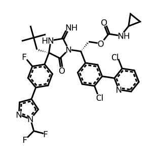 CC(C)(C)C[C@]1(c2ccc(-c3cnn(C(F)F)c3)cc2F)NC(=N)N([C@H](COC(=O)NC2CC2)c2ccc(Cl)c(-c3ncccc3Cl)c2)C1=O